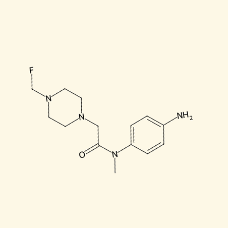 CN(C(=O)CN1CCN(CF)CC1)c1ccc(N)cc1